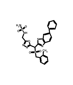 Cc1ccccc1CS(=O)(=O)C(c1nnc(CNS(N)(=O)=O)o1)c1nc2ccc(-c3ccccc3)cc2s1